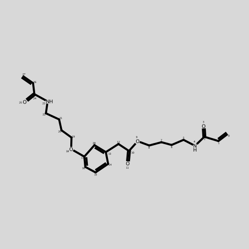 C=CC(=O)NCCCCOC(=O)Cc1cccc(OCCCCNC(=O)C=C)c1